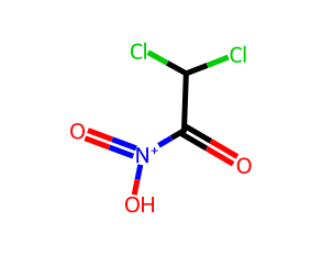 O=C(C(Cl)Cl)[N+](=O)O